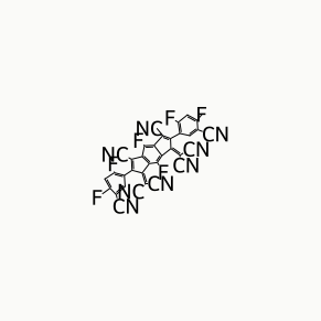 N#CC(C#N)=C1C(c2cc(C#N)c(F)cc2F)=C(C#N)c2c(F)c3c(c(F)c21)C(=C(C#N)C#N)C(c1cc(C#N)c(F)cc1F)=C3C#N